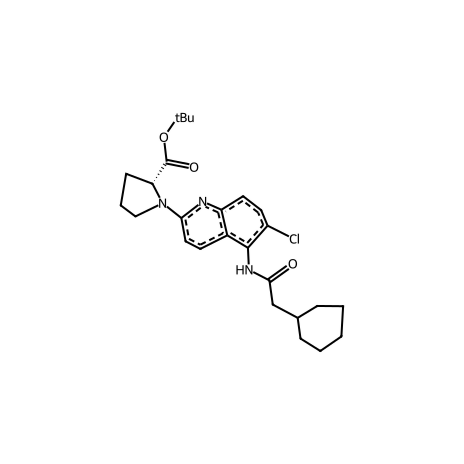 CC(C)(C)OC(=O)[C@H]1CCCN1c1ccc2c(NC(=O)CC3CCCCC3)c(Cl)ccc2n1